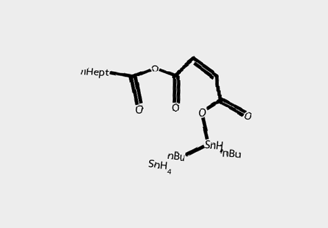 CCCCCCCC(=O)OC(=O)/C=C\C(=O)[O][SnH]([CH2]CCC)[CH2]CCC.[SnH4]